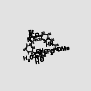 CCn1nc(-c2cccc(C(C)(C)NS(=O)(=O)CC(F)(F)F)c2)cc1Oc1ccc(CNCC(=O)OC)cc1